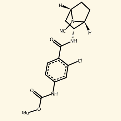 CC(C)(C)OC(=O)Nc1ccc(C(=O)N[C@@H]2C[C@@H]3CC[C@H]2N3C#N)c(Cl)c1